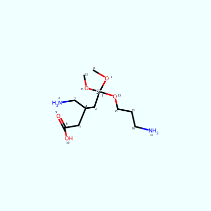 CO[Si](CC(CN)CC(=O)O)(OC)OCCCN